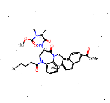 COC(=O)c1ccc2c(CN3C(=O)[C@@H](NC(=O)[C@H](C)N(C)C(=O)OC(C)(C)C)CN(C(=O)CCCC(C)=O)c4ccccc43)c(OC)ccc2c1